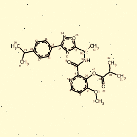 COc1ccnc(C(=O)N[C@@H](C)c2nc(-c3ccc(C(C)C)cc3)no2)c1OC(=O)C(C)C